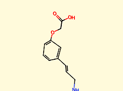 NC/C=C/c1cccc(OCC(=O)O)c1